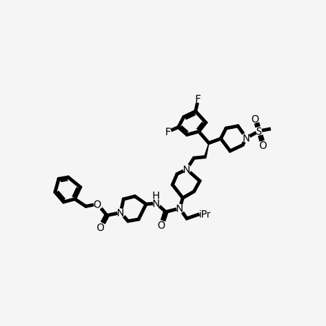 CC(C)CN(C(=O)NC1CCN(C(=O)OCc2ccccc2)CC1)C1CCN(CC[C@@H](c2cc(F)cc(F)c2)C2CCN(S(C)(=O)=O)CC2)CC1